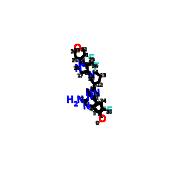 COc1cc2nc(N)n3nc(C4CCCN(c5cnn(C6CCOCC6)c5C(F)F)C4)nc3c2cc1F